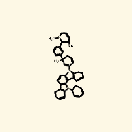 CN1CC=CC(C#N)=C1c1cccc(C2(C)C=C(n3c4c(c5c3ccc3c6c(n(C7C=CC=CC7)c35)C#CCC6)C=CCC4)C=CC2)c1